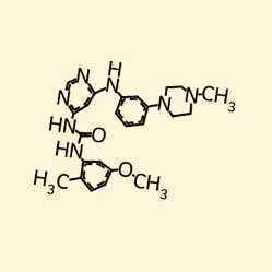 COc1ccc(C)c(NC(=O)Nc2cc(Nc3cccc(N4CCN(C)CC4)c3)ncn2)c1